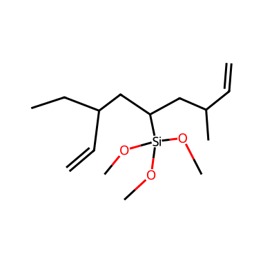 C=CC(C)CC(CC(C=C)CC)[Si](OC)(OC)OC